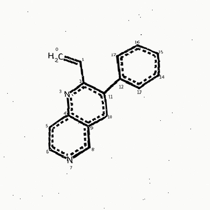 C=Cc1nc2ccncc2cc1-c1ccccc1